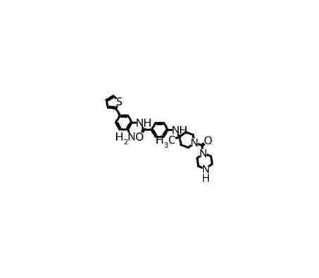 CC1(Nc2ccc(C(=O)Nc3cc(-c4cccs4)ccc3N)cc2)CCN(C(=O)N2CCNCC2)CC1